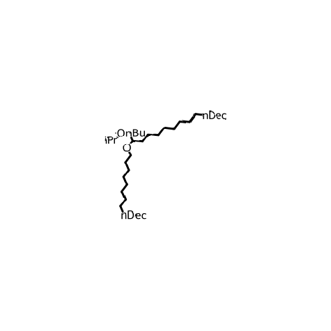 CC(C)[O].CCCCCCCCCCCCCCCCCCOC(CCCC)CCCCCCCCCCCCCCCCCC